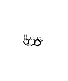 CCOC(=O)[C@@H]1NCC[C@@H]1Cc1ccc(F)cc1